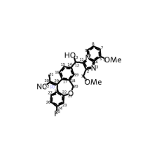 COCc1nc2c(OC)cccn2c1C(O)c1ccc2c(c1)COc1cc(F)ccc1/C2=C(/C)C#N